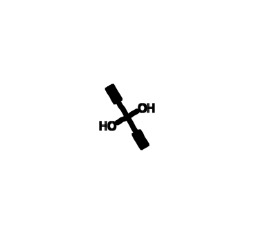 C#CC(O)(O)C#C